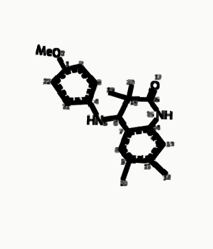 COc1ccc(NC2c3cc(C)c(C)cc3NC(=O)C2(C)C)cc1